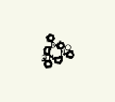 c1ccc(B2c3ccc4c(c3)N(c3cccc(c3)N3c5ccccc5Oc5ccc2cc53)c2ccccc2O4)cc1